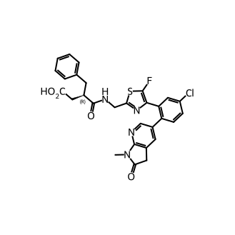 CN1C(=O)Cc2cc(-c3ccc(Cl)cc3-c3nc(CNC(=O)[C@@H](CC(=O)O)Cc4ccccc4)sc3F)cnc21